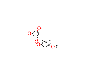 COc1cc(OC)cc(C(=O)CC2=C3CC[C@H](OC(C)(C)C)[C@@]3(C)CCC2=O)c1